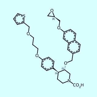 O=C(O)N1CC[C@@H](c2ccc(OCCCOCc3cccs3)cc2)[C@H](OCc2ccc3ccc(OC[C@H]4CO4)cc3c2)C1